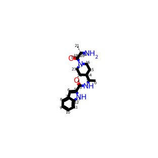 CC(NC(=O)c1cc2ccccc2[nH]1)C1CCN(C(=O)[C@H](C)N)CC1